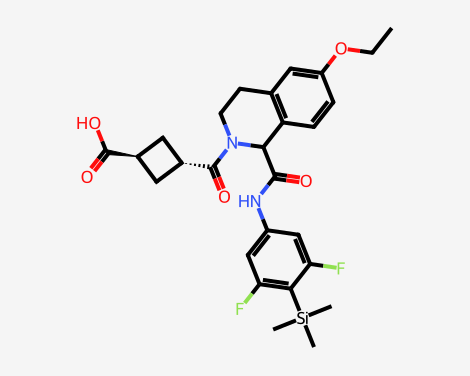 CCOc1ccc2c(c1)CCN(C(=O)[C@H]1C[C@H](C(=O)O)C1)C2C(=O)Nc1cc(F)c([Si](C)(C)C)c(F)c1